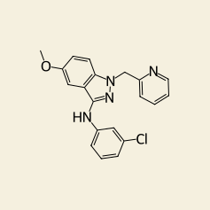 COc1ccc2c(c1)c(Nc1cccc(Cl)c1)nn2Cc1ccccn1